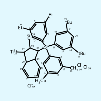 CCc1cc(CC)cc([Si](c2cc(C)cc(C)c2)(c2cc(C(C)(C)C)cc(C(C)(C)C)c2)C2C(C)[CH]([Ti+3])C3C=CC=CC32)c1.[Cl-].[Cl-].[Cl-]